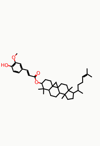 COc1cc(/C=C/C(=O)OC2CCC34CC35CCC3(C)C(C(C)CCC=C(C)C)CCC3(C)C5CCC4C2(C)C)ccc1O